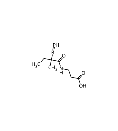 CCC(C)(B=P)C(=O)NCCC(=O)O